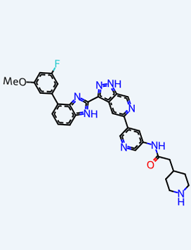 COc1cc(F)cc(-c2cccc3[nH]c(-c4n[nH]c5cnc(-c6cncc(NC(=O)CC7CCNCC7)c6)cc45)nc23)c1